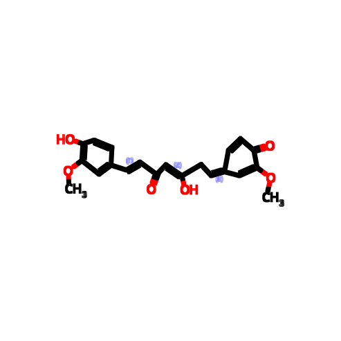 COC1=C/C(=C/C/C(O)=C/C(=O)/C=C/c2ccc(O)c(OC)c2)C=CC1=O